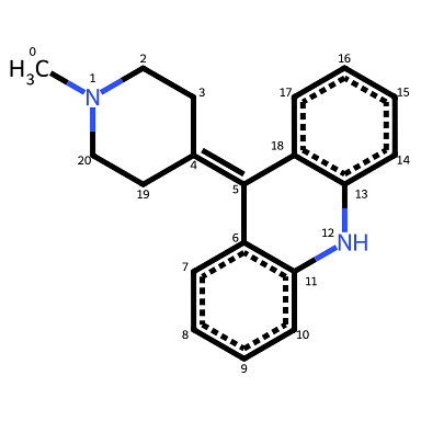 CN1CCC(=C2c3ccccc3Nc3ccccc32)CC1